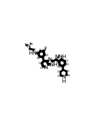 CN(C)CCNc1cc(F)cc(-c2ccnc3[nH]c(-c4n[nH]c5ccc(C6CCNCC6)cc45)nc23)c1